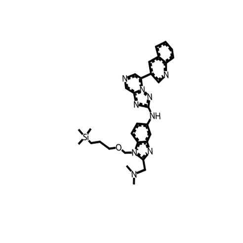 CN(C)Cc1nc2cc(Nc3nc4cncc(-c5cnc6ccccc6c5)n4n3)ccc2n1COCCC[Si](C)(C)C